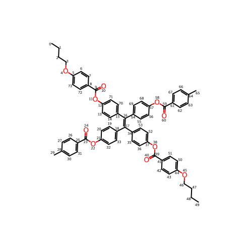 CCCCOc1ccc(C(=O)Oc2ccc(/C(=C(\c3ccc(OC(=O)c4ccc(C)cc4)cc3)c3ccc(OC(=O)c4ccc(OCCCC)cc4)cc3)c3ccc(OC(=O)c4ccc(C)cc4)cc3)cc2)cc1